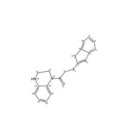 O=C(CSc1nc2ccccc2s1)N1CCNc2ccccc21